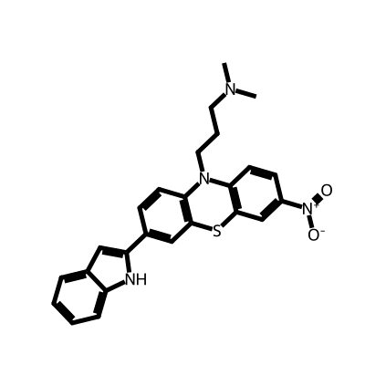 CN(C)CCCN1c2ccc(-c3cc4ccccc4[nH]3)cc2Sc2cc([N+](=O)[O-])ccc21